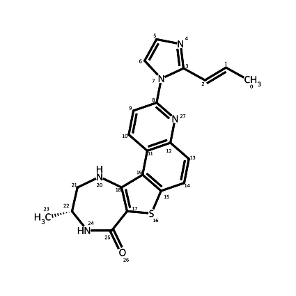 C/C=C/c1nccn1-c1ccc2c(ccc3sc4c(c32)NC[C@@H](C)NC4=O)n1